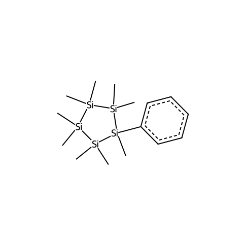 C[Si]1(C)[Si](C)(C)[Si](C)(C)[Si](C)(c2ccccc2)[Si]1(C)C